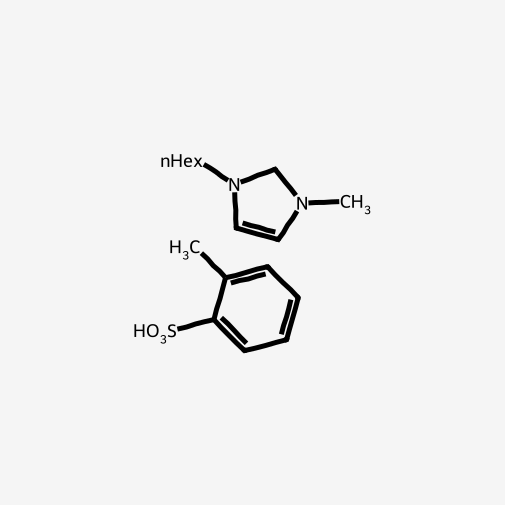 CCCCCCN1C=CN(C)C1.Cc1ccccc1S(=O)(=O)O